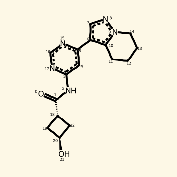 O=C(Nc1cc(-c2cnn3c2CCCC3)ncn1)[C@H]1C[C@H](O)C1